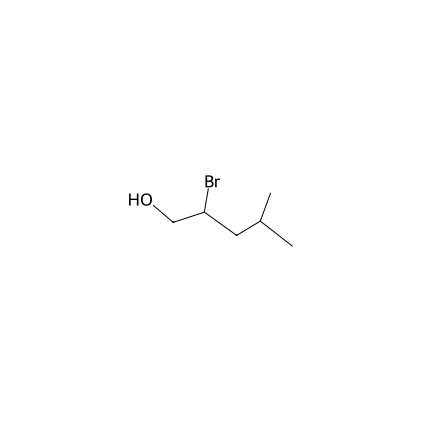 CC(C)CC(Br)CO